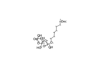 CCCCCCCCCCCCCCCCOP(=O)(O)OP(=O)(O)OP(=O)(O)O